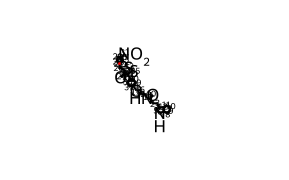 O=C(CCC1CNc2ccccc21)NCCCOc1ccc(N2C(=O)/C(=C/c3ccc([N+](=O)[O-])s3)SC2=S)cc1